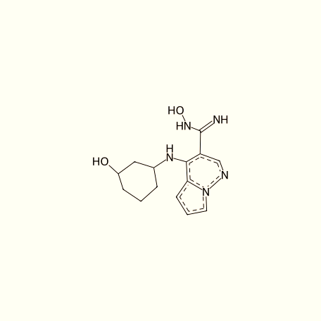 N=C(NO)c1cnn2cccc2c1NC1CCCC(O)C1